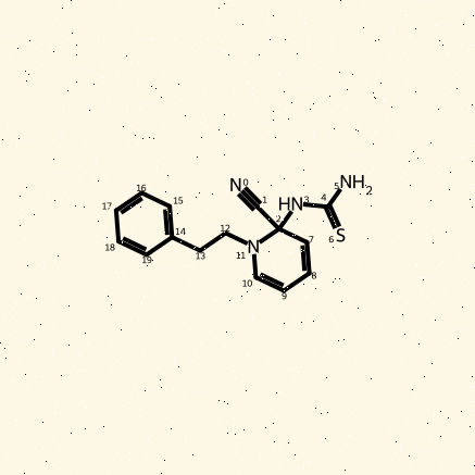 N#CC1(NC(N)=S)C=CC=CN1CCc1ccccc1